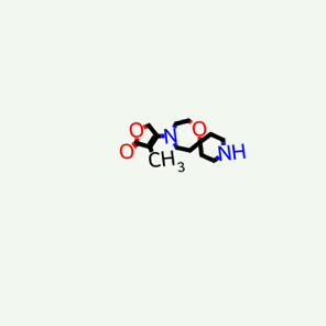 CC1=C(N2CCOC3(CCNCC3)CC2)COC1=O